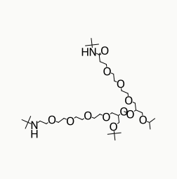 CC(C)OCC(COCCOCCOCCC(=O)NC(C)(C)C)OOC(COCCOCCOCCOCCNC(C)(C)C)COC(C)(C)C